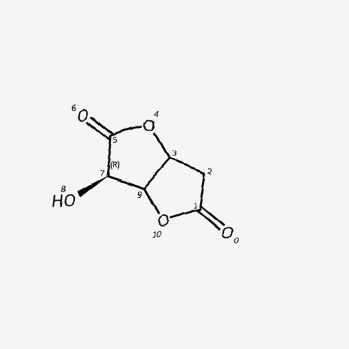 O=C1CC2OC(=O)[C@H](O)C2O1